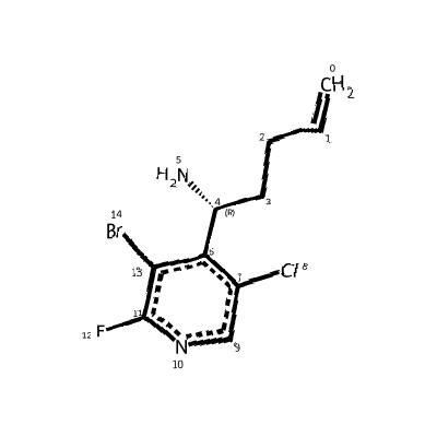 C=CCC[C@@H](N)c1c(Cl)cnc(F)c1Br